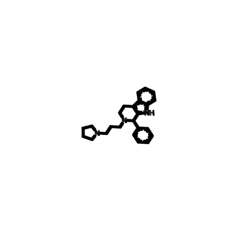 c1ccc(C2c3[nH]c4ccccc4c3CCN2CCCN2CCCC2)cc1